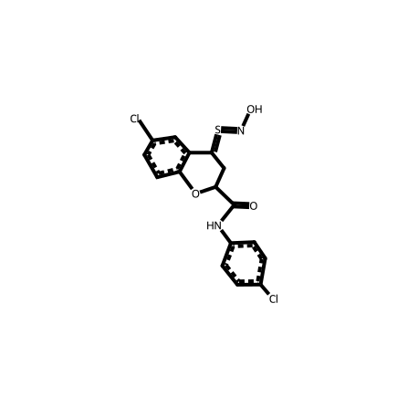 O=C(Nc1ccc(Cl)cc1)C1CC(=S=NO)c2cc(Cl)ccc2O1